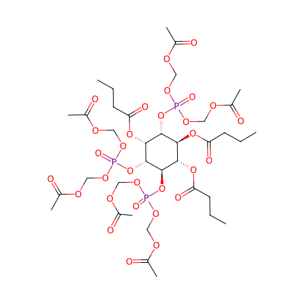 CCCC(=O)O[C@@H]1[C@H](OP(=O)(OCOC(C)=O)OCOC(C)=O)[C@@H](OC(=O)CCC)[C@H](OC(=O)CCC)[C@@H](OP(=O)(OCOC(C)=O)OCOC(C)=O)[C@@H]1OP(=O)(OCOC(C)=O)OCOC(C)=O